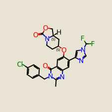 Cc1nc2cc(-c3cn(C(F)F)cn3)c(O[C@H]3CCN4C(=O)OC[C@@H]4C3)cc2c(=O)n1Cc1ccc(Cl)cc1